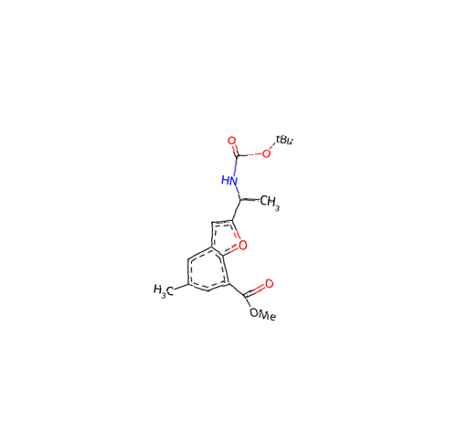 COC(=O)c1cc(C)cc2cc(C(C)NC(=O)OC(C)(C)C)oc12